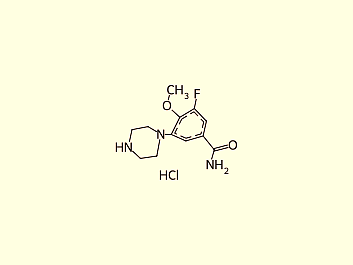 COc1c(F)cc(C(N)=O)cc1N1CCNCC1.Cl